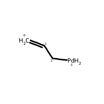 C=C[CH2][PdH2]